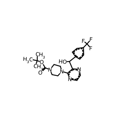 CC(C)(C)OC(=O)N1CCN(c2nccnc2C(O)c2ccc(C(F)(F)F)cc2)CC1